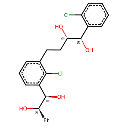 CC[C@@H](O)[C@H](O)c1cccc(CC[C@H](O)[C@@H](O)c2ccccc2Cl)c1Cl